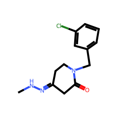 CNN=C1CCN(Cc2cccc(Cl)c2)C(=O)C1